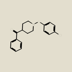 O=C(c1ccccc1)C1CCN(Sc2ccc(Cl)cc2)CC1